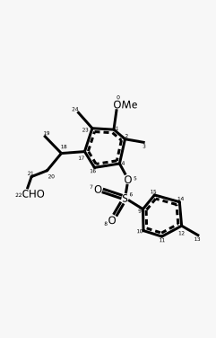 COc1c(C)c(OS(=O)(=O)c2ccc(C)cc2)cc(C(C)CCC=O)c1C